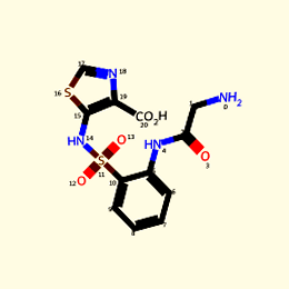 NCC(=O)Nc1ccccc1S(=O)(=O)Nc1scnc1C(=O)O